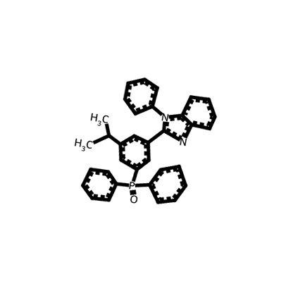 CC(C)c1cc(-c2nc3ccccc3n2-c2ccccc2)cc(P(=O)(c2ccccc2)c2ccccc2)c1